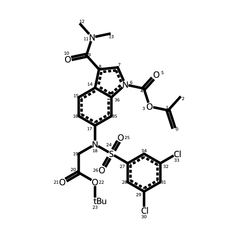 C=C(C)OC(=O)n1cc(C(=O)N(C)C)c2ccc(N(CC(=O)OC(C)(C)C)S(=O)(=O)c3cc(Cl)cc(Cl)c3)cc21